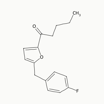 CCCCC(=O)c1ccc(Cc2ccc(F)cc2)o1